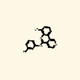 N#Cc1cccc2c1nc(Nc1cccc(Cl)c1)c1ccncc12